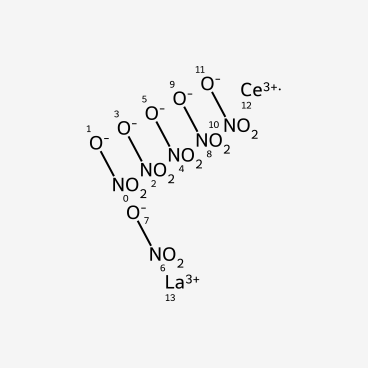 O=[N+]([O-])[O-].O=[N+]([O-])[O-].O=[N+]([O-])[O-].O=[N+]([O-])[O-].O=[N+]([O-])[O-].O=[N+]([O-])[O-].[Ce+3].[La+3]